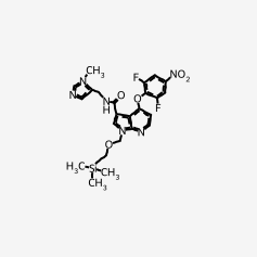 Cn1cncc1CNC(=O)c1cn(COCC[Si](C)(C)C)c2nccc(Oc3c(F)cc([N+](=O)[O-])cc3F)c12